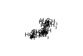 COc1cc2c(cc1OCCCCCOc1cc3c(cc1OC)C(=O)N1CC4(CC4)C[C@H]1[C@H](O)N3C(=O)OCc1ccc(NC(=O)[C@H](C)NC(=O)[C@@H](N)C(C)C)cc1)NC[C@@H]1CC3(CC3)CN1C2O